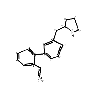 C=Cc1ccccc1-c1cccc(CC2CCCN2)c1